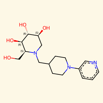 OC[C@H]1[C@@H](O)[C@H](O)[C@@H](O)CN1CC1CCN(c2cccnc2)CC1